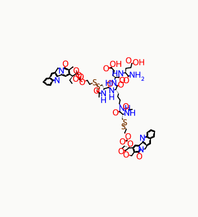 CC[C@]1(OC(=O)OCCSSC[C@@H](NC(C)=O)C(=O)N[C@@H](CCCCNC(=O)[C@@H](CSSCCOC(=O)O[C@]2(CC)C(=O)OCc3c2cc2n(c3=O)Cc3cc4ccccc4nc3-2)NC(C)=O)C(=O)N[C@@H](CCC(=O)O)C(=O)N[C@@H](CCC(=O)O)C(N)=O)C(=O)OCc2c1cc1n(c2=O)Cc2cc3ccccc3nc2-1